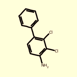 Nc1ccc(-c2ccccc2)c(Cl)c1Cl